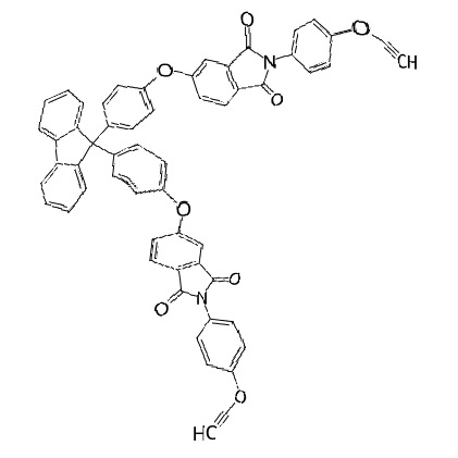 C#COc1ccc(N2C(=O)c3ccc(Oc4ccc(C5(c6ccc(Oc7ccc8c(c7)C(=O)N(c7ccc(OC#C)cc7)C8=O)cc6)c6ccccc6-c6ccccc65)cc4)cc3C2=O)cc1